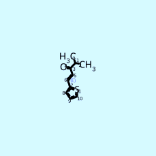 CC(C)C(=O)/C=C/c1cccs1